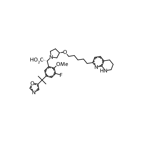 COc1c(F)cc(C(C)(C)c2cnco2)cc1[C@H](C(=O)O)N1CC[C@@H](OCCCCCc2ccc3c(n2)NCCC3)C1